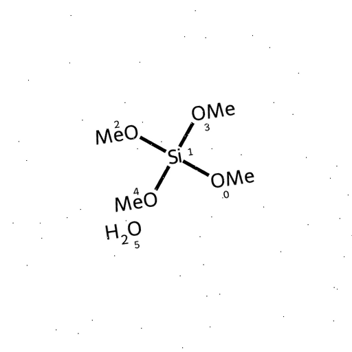 CO[Si](OC)(OC)OC.O